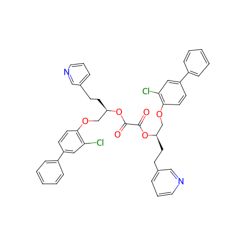 O=C(O[C@H](CCc1cccnc1)COc1ccc(-c2ccccc2)cc1Cl)C(=O)O[C@H](CCc1cccnc1)COc1ccc(-c2ccccc2)cc1Cl